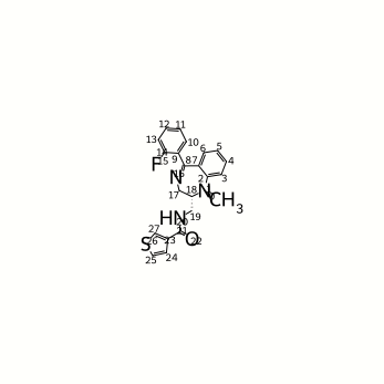 CN1c2ccccc2C(c2ccccc2F)=NC[C@H]1CNC(=O)c1ccsc1